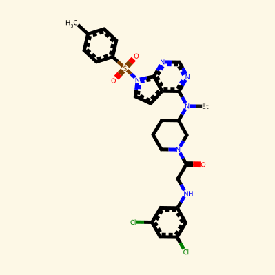 CCN(c1ncnc2c1ccn2S(=O)(=O)c1ccc(C)cc1)C1CCCN(C(=O)CNc2cc(Cl)cc(Cl)c2)C1